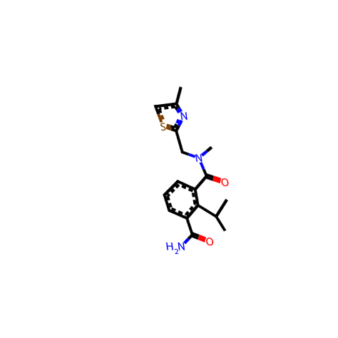 Cc1csc(CN(C)C(=O)c2cccc(C(N)=O)c2C(C)C)n1